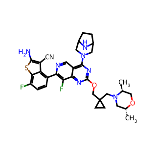 C[C@@H]1CN(CC2(COc3nc(N4CC5CCC(C4)N5)c4cnc(-c5ccc(F)c6sc(N)c(C#N)c56)c(F)c4n3)CC2)[C@@H](C)CO1